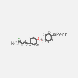 CCCCC[C@H]1CC[C@H](CO[C@H]2CC[C@H](C=CC=C(F)C#N)CC2)CC1